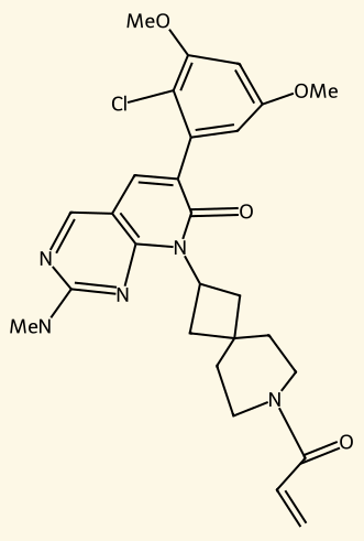 C=CC(=O)N1CCC2(CC1)CC(n1c(=O)c(-c3cc(OC)cc(OC)c3Cl)cc3cnc(NC)nc31)C2